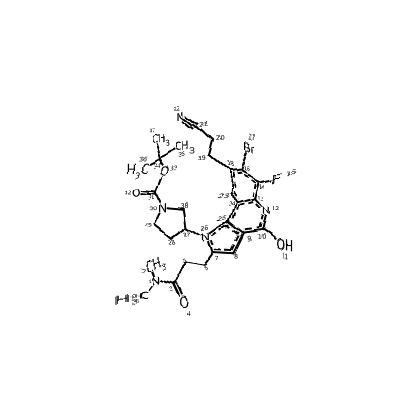 CN(C)C(=O)CCc1cc2c(O)nc3c(F)c(Br)c(CCC#N)cc3c2n1C1CCN(C(=O)OC(C)(C)C)C1